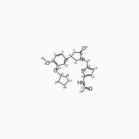 COc1ccc([C@H]2CC(=O)N(Cc3ccc(NC(C)=O)s3)C2)cc1OC1CCCC1